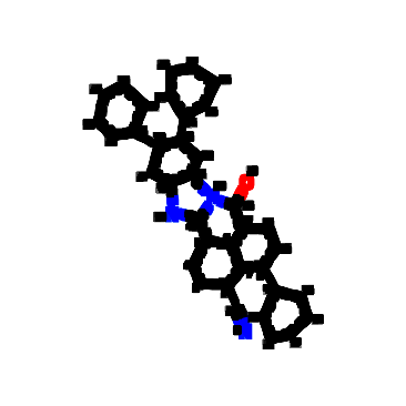 N#Cc1ccc2c3c1c(-c1ccccc1)ccc3c(=O)n1c3cc(-c4ccccc4)c(-c4ccccc4)cc3nc21